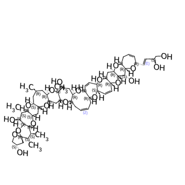 C[C@@H]1C[C@@H]2O[C@@H]3[C@@H](C)[C@H](O)[C@@H]4O[C@]5(C[C@H](O)CO5)[C@@H](C)[C@H](C)[C@H]4O[C@H]3C[C@H]2O[C@H]2C[C@H]3O[C@H]4C/C=C\C[C@H]5O[C@H]6C=C[C@H]7O[C@H]8[C@@H](O)[C@H]9O[C@@H](/C=C/[C@H](O)CO)C=CC[C@@H]9O[C@@H]8C[C@@H]7O[C@@H]6C=C[C@@H]5O[C@@H]4C[C@@H](O)[C@]3(C)O[C@@H]2C1